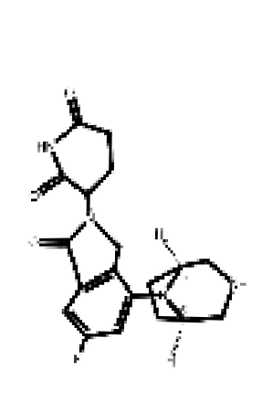 O=C1CCC(N2Cc3c(cc(F)cc3N3[C@@H]4CC[C@H]3CNC4)C2=O)C(=O)N1